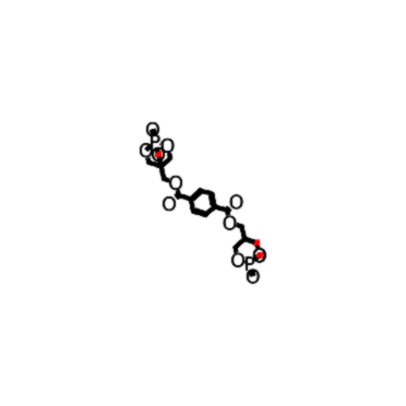 O=C(OCC12COP(=O)(OC1)OC2)c1ccc(C(=O)OCC23COP(=O)(OC2)OC3)cc1